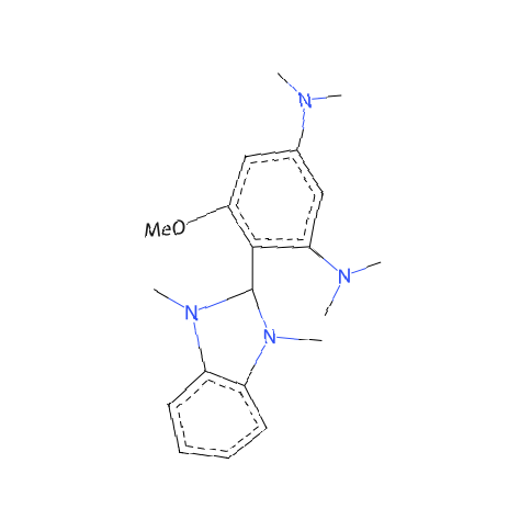 COc1cc(N(C)C)cc(N(C)C)c1C1N(C)c2ccccc2N1C